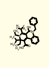 CCN1C(C(C)C)=C(C(=O)O)C(c2ccccc2OCc2ccccc2)=C(C(=O)O)C1(CC)C(C)C